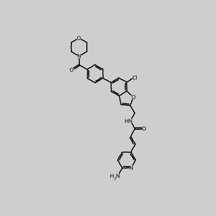 Nc1ccc(C=CC(=O)NCc2cc3cc(-c4ccc(C(=O)N5CCOCC5)cc4)cc(Cl)c3o2)cn1